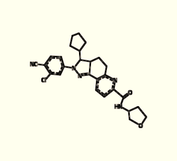 N#Cc1ccc(N2N=C3c4ccc(C(=O)NC5CCOC5)nc4CCC3C2C2CCCC2)cc1Cl